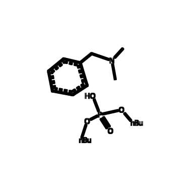 CCCCOP(=O)(O)OCCCC.CN(C)Cc1ccccc1